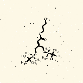 CCCCOC(=O)C=C(CO[Si](C)(C)C(C)(C)C)CO[Si](C)(C)C(C)(C)C